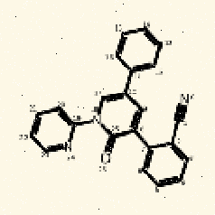 N#Cc1ccccc1-c1cc(-c2ccccc2)cn(-c2ccccn2)c1=O